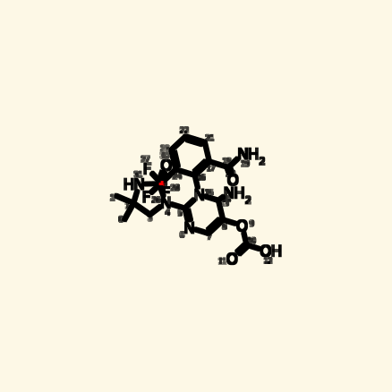 CC1(C)CN(C2=NC=C(OC(=O)O)C(N)N2c2c(C(N)=O)cccc2C(F)(F)F)C(=O)N1